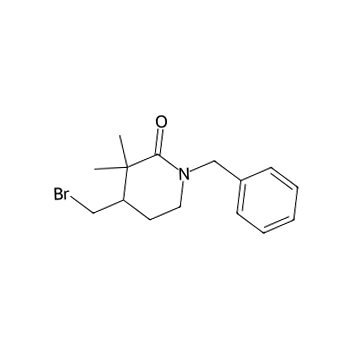 CC1(C)C(=O)N(Cc2ccccc2)CCC1CBr